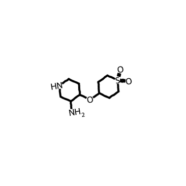 NC1CNCCC1OC1CCS(=O)(=O)CC1